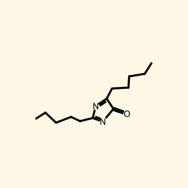 CCCCCC1=NC(=O)C(CCCCC)=N1